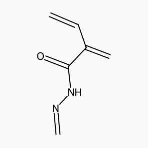 C=CC(=C)C(=O)NN=C